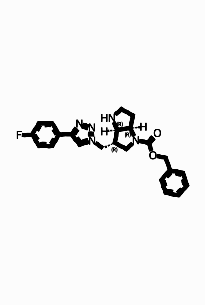 O=C(OCc1ccccc1)N1C[C@H](Cn2cc(-c3ccc(F)cc3)nn2)[C@H]2NCC[C@H]21